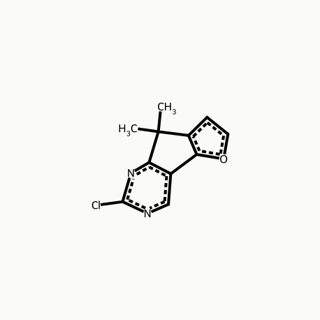 CC1(C)c2ccoc2-c2cnc(Cl)nc21